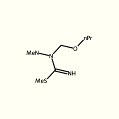 CCCOCN(NC)C(=N)SC